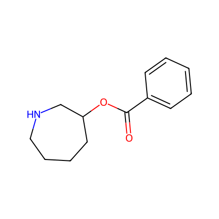 O=C(OC1CCCCNC1)c1ccccc1